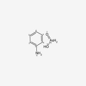 Nc1ccccc1.O=[AsH2]O